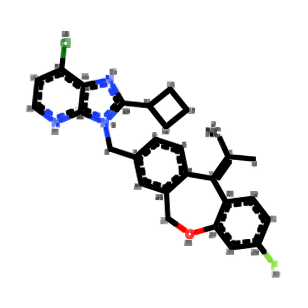 C/C(C#N)=C1/c2ccc(Cn3c(C4CCC4)nc4c(Cl)ccnc43)cc2COc2cc(F)ccc21